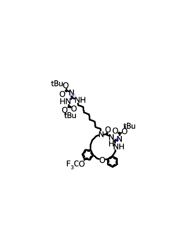 CC(C)(C)OC(=O)/N=C(/NCCCCCCCCN1CCCc2ccc(OC(F)(F)F)cc2COc2ccccc2CN/C(=N/C(=O)OC(C)(C)C)NC1=O)NC(=O)OC(C)(C)C